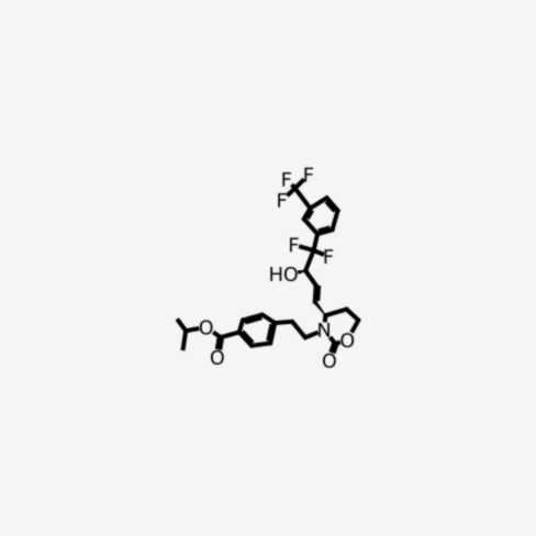 CC(C)OC(=O)c1ccc(CCN2C(=O)OCC[C@@H]2C=C[C@@H](O)C(F)(F)c2cccc(C(F)(F)F)c2)cc1